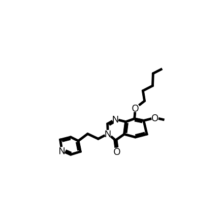 CCCCCOc1c(OC)ccc2c(=O)n(CCc3ccncc3)cnc12